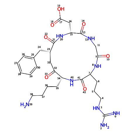 N=C(N)NCCCC1NC(=O)CNC(=O)[C@@H](CC(=O)O)NC(=O)[C@@H](Cc2ccccc2)CC(=O)[C@@H](CCCCN)NC1=O